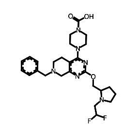 O=C(O)N1CCN(c2nc(OCC3CCCN3CC(F)F)nc3c2CCN(Cc2ccccc2)C3)CC1